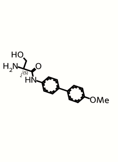 COc1ccc(-c2ccc(NC(=O)[C@@](C)(N)CO)cc2)cc1